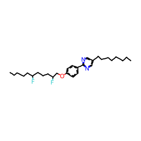 CCCCCCCCc1cnc(-c2ccc(OCC(F)CCCC(F)CCCCC)cc2)nc1